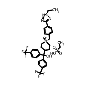 CCS(=O)(=O)O.CCn1nnc(-c2ccc(C[N+]3([O-])CCC(C(O)(c4ccc(C(F)(F)F)cc4)c4ccc(C(F)(F)F)cc4)CC3)cc2)n1